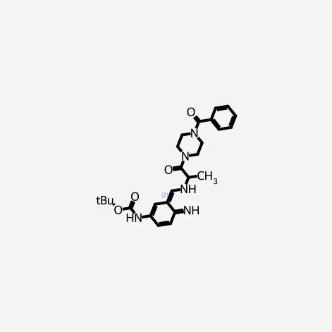 CC(N/C=C1/C=C(NC(=O)OC(C)(C)C)C=CC1=N)C(=O)N1CCN(C(=O)c2ccccc2)CC1